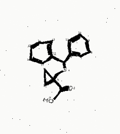 O=C(O)C1(SC(c2ccccc2)c2ccccc2)CC1